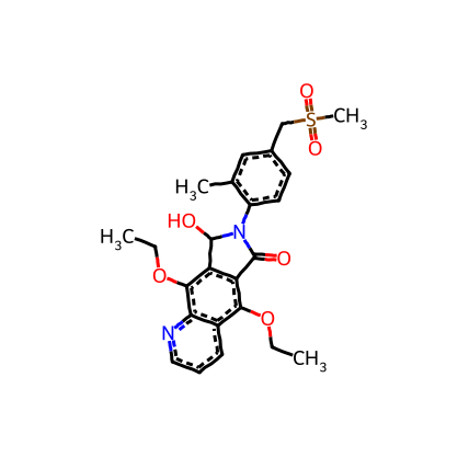 CCOc1c2c(c(OCC)c3ncccc13)C(O)N(c1ccc(CS(C)(=O)=O)cc1C)C2=O